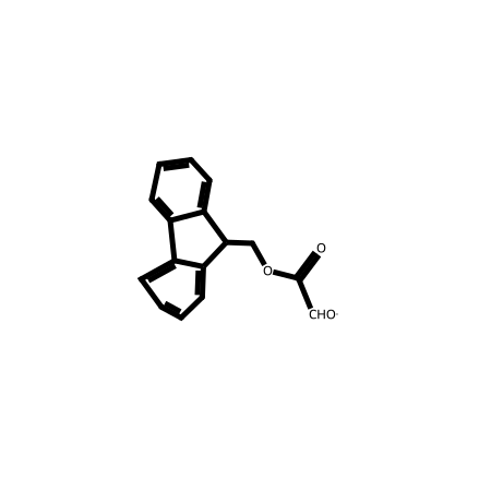 O=[C]C(=O)OCC1c2ccccc2-c2ccccc21